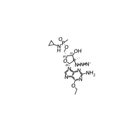 CCOc1nc(N)nc2c1ncn2[C@@H]1O[C@H](COP(C)(=O)NC2CC2)[C@@H](O)[C@@]1(C)N=[N+]=[N-]